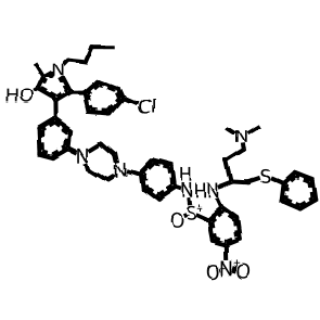 CCCCn1c(C)c(O)c(-c2cccc(N3CCN(c4ccc(N[S+]([O-])c5cc([N+](=O)[O-])ccc5NC(CCN(C)C)CSc5ccccc5)cc4)CC3)c2)c1-c1ccc(Cl)cc1